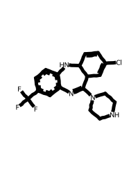 FC(F)(F)c1ccc2c(c1)N=C(N1CCNCC1)C1C=C(Cl)C=CC1N2